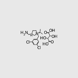 CC(C)[N+]1(Cc2cc(Cl)cc(Cl)c2)CC[C@H](CN)C1.O=C(O)C(O)C(O)C(=O)O